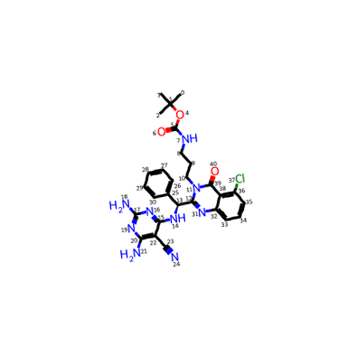 CC(C)(C)OC(=O)NCCCn1c([C@@H](Nc2nc(N)nc(N)c2C#N)c2ccccc2)nc2cccc(Cl)c2c1=O